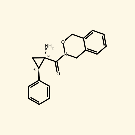 N[C@@]1(C(=O)N2Cc3ccccc3CO2)C[C@@H]1c1ccccc1